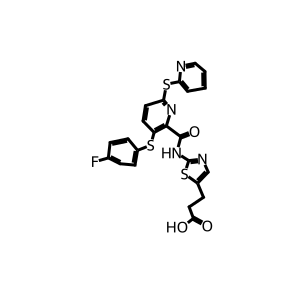 O=C(O)CCc1cnc(NC(=O)c2nc(Sc3ccccn3)ccc2Sc2ccc(F)cc2)s1